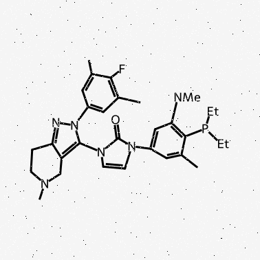 CCP(CC)c1c(C)cc(-n2ccn(-c3c4c(nn3-c3cc(C)c(F)c(C)c3)CCN(C)C4)c2=O)cc1NC